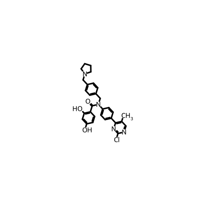 Cc1cnc(Cl)nc1-c1ccc(N(Cc2ccc(CN3CCCC3)cc2)C(=O)c2ccc(O)cc2O)cc1